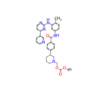 Cc1ccc(NC(=O)c2ccc(C3CCCN(COC(=O)OC(C)C)C3)cc2)cc1Nc1nccc(-c2cccnc2)n1